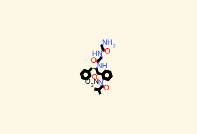 C=C(C)C(=O)N(c1ccccc1C(=O)[C@H](Cc1ccccc1)NC(=O)CNC(=O)CN)[N+](=O)[O-]